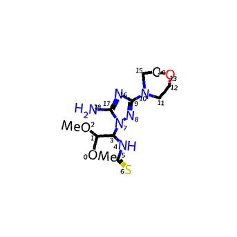 COC(OC)C(NC=S)n1nc(N2CCOCC2)nc1N